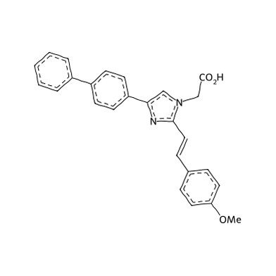 COc1ccc(C=Cc2nc(-c3ccc(-c4ccccc4)cc3)cn2CC(=O)O)cc1